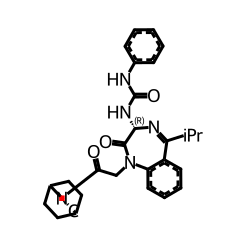 CC(C)C1=N[C@@H](NC(=O)Nc2ccccc2)C(=O)N(CC(=O)N2CC3CCC(CC3)C2)c2ccccc21